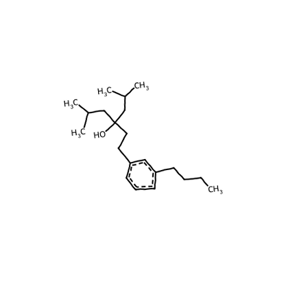 CCCCc1cccc(CCC(O)(CC(C)C)CC(C)C)c1